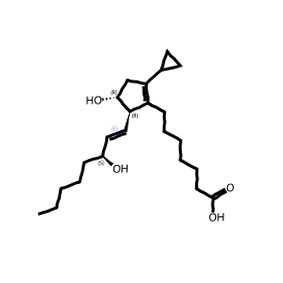 CCCCC[C@H](O)/C=C/[C@@H]1C(CCCCCCC(=O)O)=C(C2CC2)C[C@H]1O